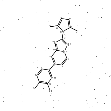 Cc1ccc(-c2ccn3nc(-n4c(C)ccc4C)nc3c2)nc1Cl